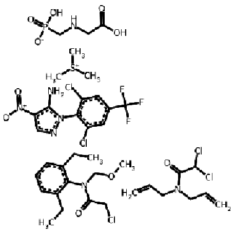 C=CCN(CC=C)C(=O)C(Cl)Cl.CCc1cccc(CC)c1N(COC)C(=O)CCl.C[S+](C)C.Nc1c([N+](=O)[O-])cnn1-c1c(Cl)cc(C(F)(F)F)cc1Cl.O=C(O)CNCP(=O)([O-])O